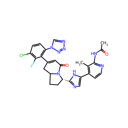 CC(=O)Nc1nccc(-c2cnc([C@@H]3CCC4CC(c5c(-n6cnnn6)ccc(Cl)c5F)=CC(=O)N43)[nH]2)c1C